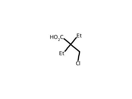 CCC(CC)(CCl)C(=O)O